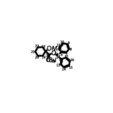 COC1(C(=O)O[Si](c2ccccc2)(c2ccccc2)C(C)(C)C)CCCCC1